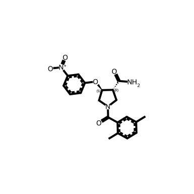 Cc1ccc(C)c(C(=O)N2C[C@@H](Oc3cccc([N+](=O)[O-])c3)[C@H](C(N)=O)C2)c1